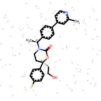 Cc1cc(-c2ccc([C@H](C)N3CC[C@](CCO)(c4ccc(F)cc4)OC3=O)cc2)ccn1